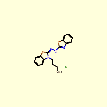 Br.COCCCn1c(=NNc2nc3ccccc3s2)sc2ccccc21